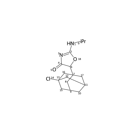 CC(C)NC1=NC(=O)C(C23CC4CC(CC(Cl)(C4)C2)C3)O1